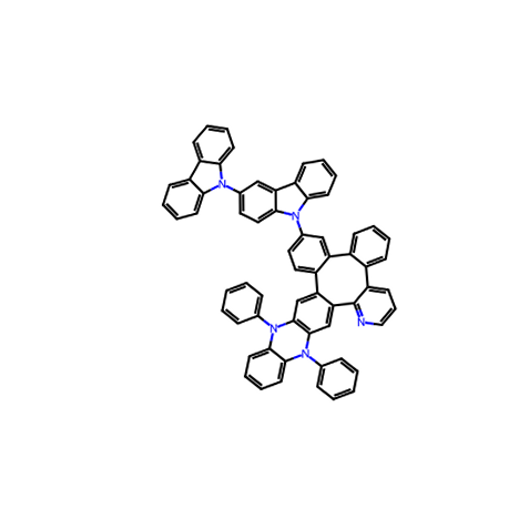 c1ccc(-n2c3ccccc3n(-c3ccccc3)c3cc4c(cc32)c2ccc(-n3c5ccccc5c5cc(-n6c7ccccc7c7ccccc76)ccc53)cc2c2ccccc2c2cccnc24)cc1